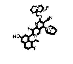 CCc1c(F)ccc2cc(O)cc(-c3ncc4c(N5CC6CCC(C5)N6)c(C#N)c(OC[C@@]56CCCN5C[C@H](F)C6)nc4c3F)c12